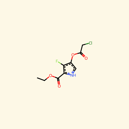 CCOC(=O)c1[nH]cc(OC(=O)CCl)c1F